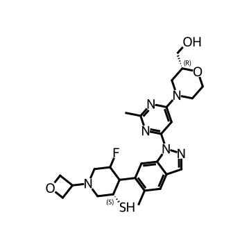 Cc1nc(N2CCO[C@@H](CO)C2)cc(-n2ncc3cc(C)c(C4C(F)CN(C5COC5)C[C@H]4S)cc32)n1